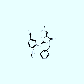 CCNc1ccc(C#N)cc1/N=C1\S/C(=C\N(C)C)C(=O)N1Cc1ccccc1